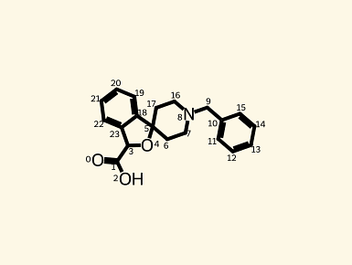 O=C(O)C1OC2(CCN(Cc3ccccc3)CC2)c2ccccc21